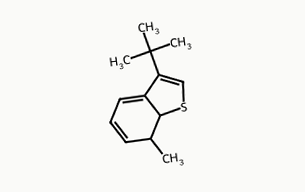 CC1C=CC=C2C(C(C)(C)C)=CSC21